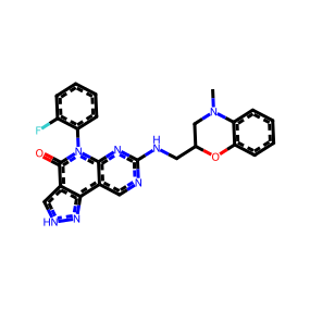 CN1CC(CNc2ncc3c4n[nH]cc4c(=O)n(-c4ccccc4F)c3n2)Oc2ccccc21